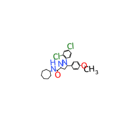 COc1ccc(C2CC(C(=O)NC3CCCCCC3)=NN2c2ccc(Cl)cc2Cl)cc1